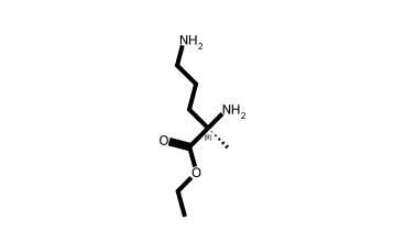 CCOC(=O)[C@](C)(N)CCCN